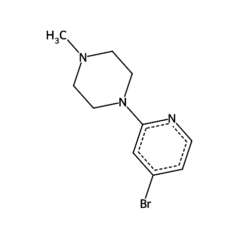 CN1CCN(c2cc(Br)ccn2)CC1